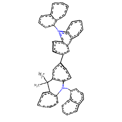 CC1(C)c2ccccc2N(c2cccc3ccccc23)c2ccc(-c3ccc4c(c3)c3ccccc3n4-c3cccc4ccccc34)cc21